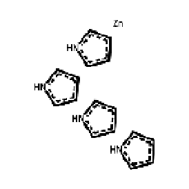 [Zn].c1cc[nH]c1.c1cc[nH]c1.c1cc[nH]c1.c1cc[nH]c1